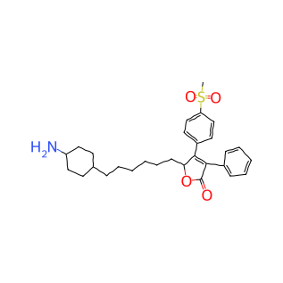 CS(=O)(=O)c1ccc(C2=C(c3ccccc3)C(=O)OC2CCCCCCC2CCC(N)CC2)cc1